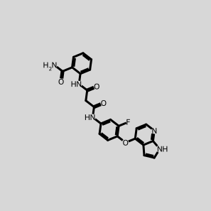 NC(=O)c1ccccc1NC(=O)CC(=O)Nc1ccc(Oc2ccnc3[nH]ccc23)c(F)c1